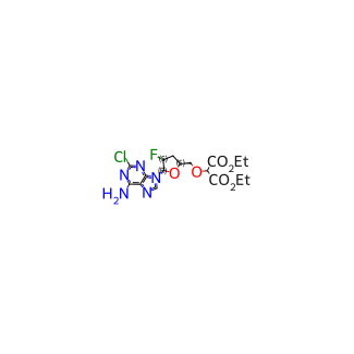 CCOC(=O)C(OC[C@@H]1C[C@H](F)[C@H](n2cnc3c(N)nc(Cl)nc32)O1)C(=O)OCC